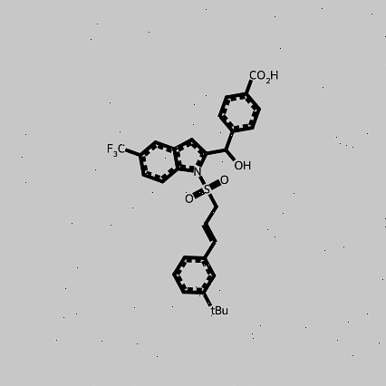 CC(C)(C)c1cccc(C=CCS(=O)(=O)n2c(C(O)c3ccc(C(=O)O)cc3)cc3cc(C(F)(F)F)ccc32)c1